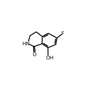 O=C1NCCc2cc(F)cc(O)c21